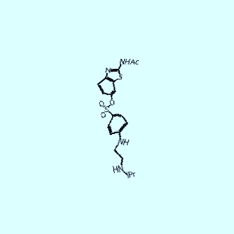 CC(=O)Nc1nc2ccc(OS(=O)(=O)c3ccc(NCCNC(C)C)cc3)cc2s1